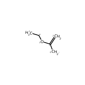 [CH2]C(=C)OCC